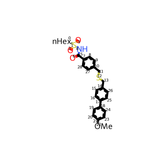 CCCCCCS(=O)(=O)NC(=O)c1ccc(CSCc2ccc(-c3ccc(OC)cc3)cc2)cc1